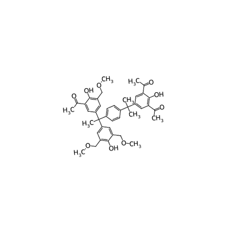 COCc1cc(C(C)(c2ccc(C(C)(C)c3cc(C(C)=O)c(O)c(C(C)=O)c3)cc2)c2cc(COC)c(O)c(C(C)=O)c2)cc(COC)c1O